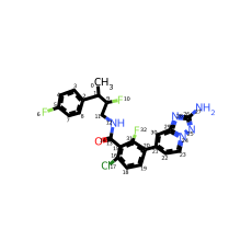 CC(c1ccc(F)cc1)C(F)CNC(=O)c1c(Cl)ccc(-c2ccn3nc(N)nc3c2)c1F